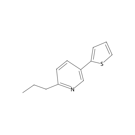 CCCc1ccc(-c2cccs2)cn1